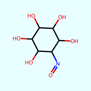 O=NC1C(O)C(O)C(O)C(O)C1O